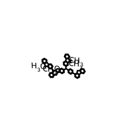 CC1(C)c2ccccc2-c2ccc(C3=c4ccccc4=CC4c5ccc(C(c6ccc(-c7cccc8c7Cc7ccccc7-8)cc6)c6ccc7c(c6)C(C)(C)c6ccccc6-7)cc5OC34)cc21